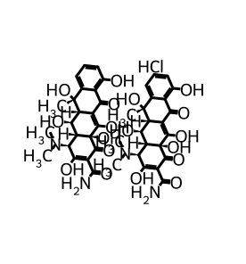 CN(C)[C@@H]1C(O)=C(C(N)=O)C(=O)[C@@]2(O)C(O)=C3C(=O)c4c(O)cccc4[C@@](C)(O)[C@H]3[C@H](O)[C@@H]12.CN(C)[C@@H]1C(O)=C(C(N)=O)C(=O)[C@@]2(O)C(O)=C3C(=O)c4c(O)cccc4[C@@](C)(O)[C@H]3[C@H](O)[C@@H]12.Cl